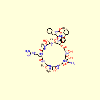 CC[C@H](C)[C@@H]1NC(=O)[C@@H](CCCNC(=N)N)NC(=O)[C@H](CC(C)C)NC(=O)[C@H]([C@H](O)C(C)C)NC(=O)[C@@H](NC(=O)[C@H](CC2CCCCC2)NC(=O)[C@@H](CC2CCCCC2)NC(=O)OC(C)(C)C)[C@@H](c2ccccc2)OC(=O)[C@H](CO)NC(=O)[C@H]([C@H](O)C(N)=O)NC(=O)CNC(=O)[C@H]([C@H](C)O)NC1=O